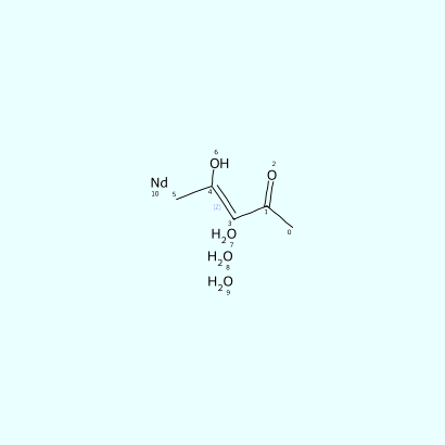 CC(=O)/C=C(/C)O.O.O.O.[Nd]